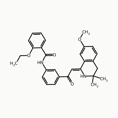 CCOc1ccccc1C(=O)Nc1cccc(C(=O)C=C2NC(C)(C)Cc3ccc(OC)cc32)c1